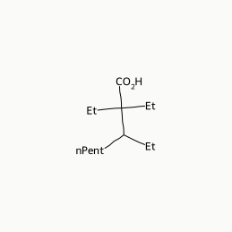 CCCCCC(CC)C(CC)(CC)C(=O)O